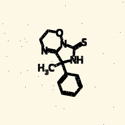 CC1(c2ccccc2)NC(=S)N2OCCN=C21